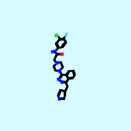 O=C(CN1CCN(c2nnc(Cc3ccncc3)c3ccccc23)CC1)Nc1ccc(F)c(Cl)c1